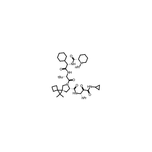 CCC[C@H](NC(=O)[C@@H]1C[C@@]2(CN1C(=O)[C@@H](NC(=O)[C@@H](NC(=O)[C@@H]1CCCCN1CCC)C1CCCCC1)C(C)(C)C)C(C)(C)C21CCC1)C(=O)C(=O)NC1CC1